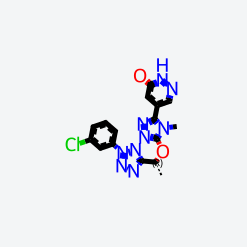 C[C@@H](Oc1nnc(-c2cn[nH]c(=O)c2)n1C)c1nnn(-c2cccc(Cl)c2)n1